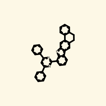 c1ccc(-c2cc(-c3ccccc3)nc(-c3cccc4c3sc3cc5c(cc34)CCc3ccccc3-5)n2)cc1